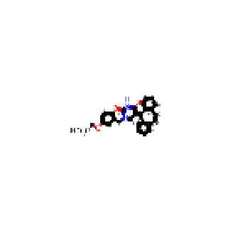 O=C(O)COc1cccc(Cn2cc(C3c4ccccc4C=Cc4ccccc43)c(=O)[nH]c2=O)c1